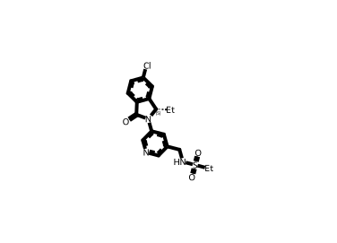 CC[C@H]1c2cc(Cl)ccc2C(=O)N1c1cncc(CNS(=O)(=O)CC)c1